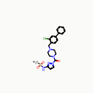 CS(=O)(=O)Nc1ccn(C(=O)N2CCN(Cc3ccc(-c4ccccc4)cc3Cl)CC2)n1